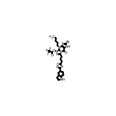 CCCCCN1c2nc(Br)[nH]c2C(=O)N2C(CCCc3nc(-c4ccc5[nH]ccc5c4)no3)=NN(OC(=O)C(F)(F)F)C21